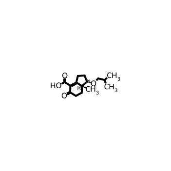 CC(C)CO[C@@H]1CCC2=C(C(=O)O)C(=O)CC[C@]21C